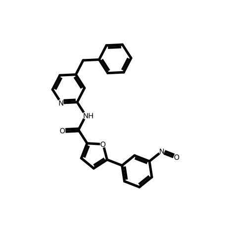 O=Nc1cccc(-c2ccc(C(=O)Nc3cc(Cc4ccccc4)ccn3)o2)c1